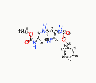 CC(C)(C)OC(=O)NC1CNc2cc(NC(=O)OCc3ccccc3)cnc2C1